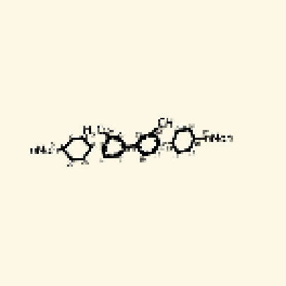 CCCCCCCCC[C@H]1CC[C@H](c2ccc(-c3ccc([C@H]4CC[C@H](CCCCCCCCC)CC4)c(C)c3)cc2C)CC1